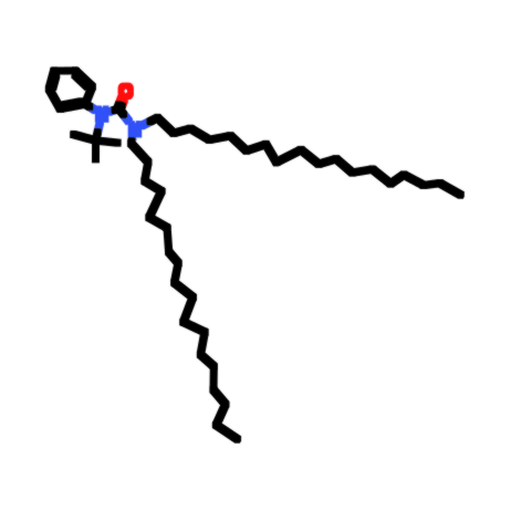 CCCCCCCCCCCCCCCCCCN(CCCCCCCCCCCCCCCCCC)C(=O)N(c1ccccc1)C(C)(C)C